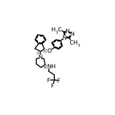 Cc1nnc(C)n1-c1ccc(O[C@H]2c3ccccc3C[C@@H]2N2CCC[C@@H](NCCC(F)(F)F)C2)cc1